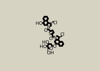 O=C(c1ccc(C(=O)N2C[C@@H](CCl)c3c2cc(O[C@H]2C[C@@H](O)[C@@H](O)[C@@H](CO)O2)c2ccccc32)s1)N1C[C@@H](CCl)c2c1cc(O)c1ccccc21